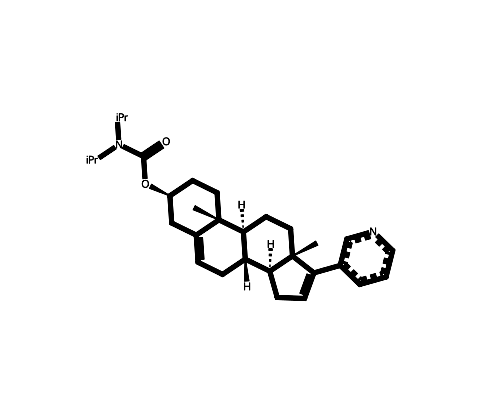 CC(C)N(C(=O)O[C@H]1CC[C@@]2(C)C(=CC[C@@H]3[C@@H]2CC[C@]2(C)C(c4cccnc4)=CC[C@@H]32)C1)C(C)C